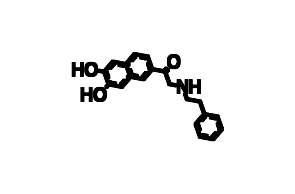 O=C(CNCCc1ccccc1)c1ccc2cc(O)c(O)cc2c1